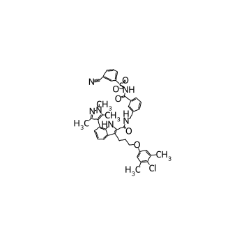 Cc1cc(OCCCc2c(C(=O)NCc3cccc(C(=O)NS(=O)(=O)c4cccc(C#N)c4)c3)[nH]c3c(-c4c(C)nn(C)c4C)cccc23)cc(C)c1Cl